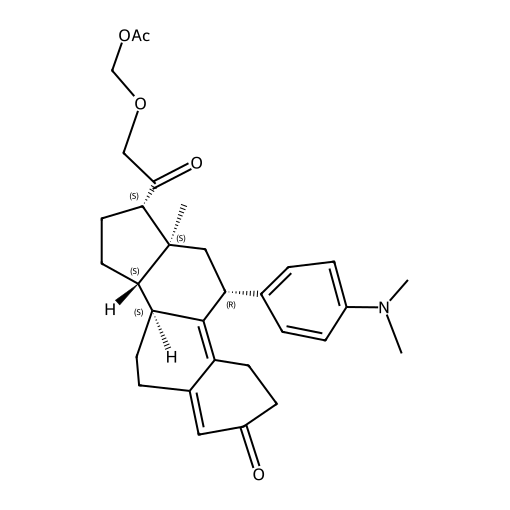 CC(=O)OCOCC(=O)[C@H]1CC[C@H]2[C@@H]3CCC4=CC(=O)CCC4=C3[C@@H](c3ccc(N(C)C)cc3)C[C@]12C